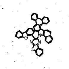 c1ccc2c(c1)ccc1c3c4c5ccccc5c5ccccc5c4ccc3n(-c3nc4c(nc3-c3cccc5c3oc3ccccc35)sc3ccccc34)c21